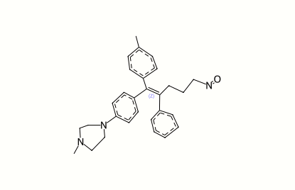 Cc1ccc(/C(=C(\CCCN=O)c2ccccc2)c2ccc(N3CCN(C)CC3)cc2)cc1